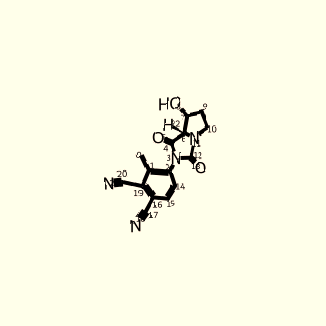 Cc1c(N2C(=O)[C@@H]3C(O)CCN3C2=O)ccc(C#N)c1C#N